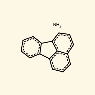 N.c1ccc2c(c1)-c1cccc3cccc-2c13